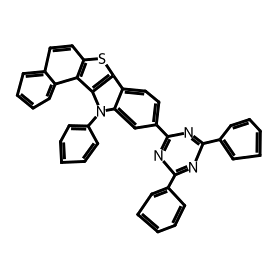 c1ccc(-c2nc(-c3ccccc3)nc(-c3ccc4c5sc6ccc7ccccc7c6c5n(-c5ccccc5)c4c3)n2)cc1